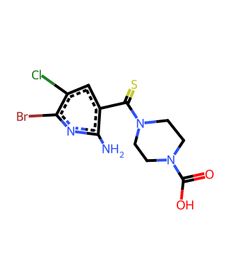 Nc1nc(Br)c(Cl)cc1C(=S)N1CCN(C(=O)O)CC1